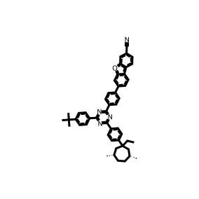 CCC1(c2ccc(-c3nc(-c4ccc(-c5ccc6c(c5)oc5cc(C#N)ccc56)cc4)nc(-c4ccc(C(C)(C)C)cc4)n3)cc2)C[C@H](C)CC[C@H](C)C1